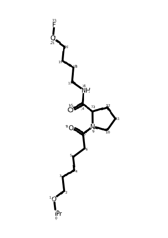 CC(C)OCCCCCC(=O)N1CCCC1C(=O)NCCCCOF